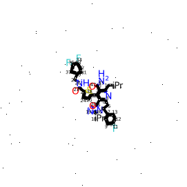 CC(C)Cc1nc(CCc2ccc(F)cc2)c(-c2nc(C(C)C)no2)c(-c2ccc(C(=O)NCc3ccc(F)c(F)c3)s2)c1C(N)=O